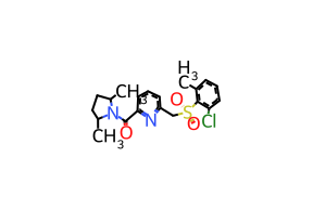 Cc1cccc(Cl)c1S(=O)(=O)Cc1cccc(C(=O)N2C(C)CCC2C)n1